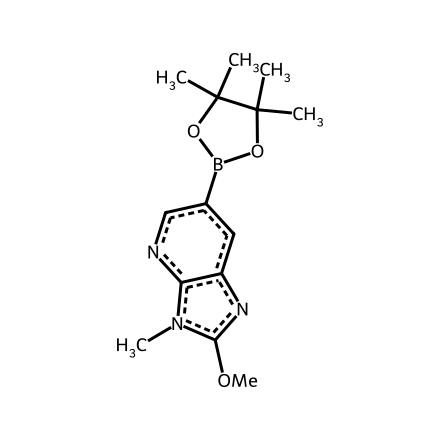 COc1nc2cc(B3OC(C)(C)C(C)(C)O3)cnc2n1C